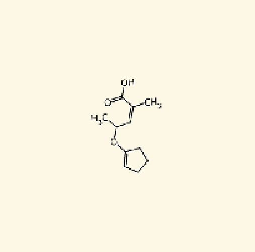 CC(=CC(C)OC1=CCCC1)C(=O)O